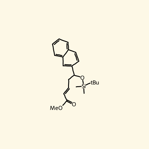 COC(=O)/C=C/CC(O[Si](C)(C)C(C)(C)C)c1ccc2ccccc2c1